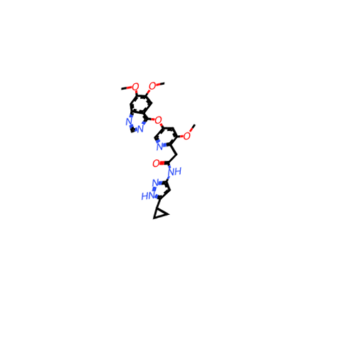 COc1cc2ncnc(Oc3cnc(CC(=O)Nc4cc(C5CC5)[nH]n4)c(OC)c3)c2cc1OC